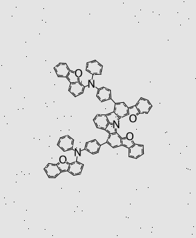 c1ccc(N(c2ccc(-c3cc4c5ccccc5oc4c4c3c3cccc5c6c(-c7ccc(N(c8ccccc8)c8cccc9c8oc8ccccc89)cc7)cc7c8ccccc8oc7c6n4c35)cc2)c2cccc3c2oc2ccccc23)cc1